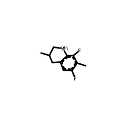 Cc1c(F)cc2c(c1F)BCC(C)C2